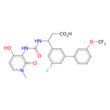 Cn1ccc(O)c(NC(=O)NC(CC(=O)O)c2cc(F)cc(-c3cccc(OC(F)(F)F)c3)c2)c1=O